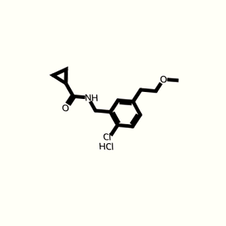 COCCc1ccc(Cl)c(CNC(=O)C2CC2)c1.Cl